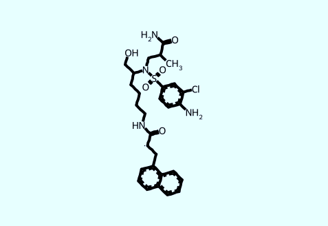 CC(CN(C(CO)CCCCNC(=O)[CH]Cc1cccc2ccccc12)S(=O)(=O)c1ccc(N)c(Cl)c1)C(N)=O